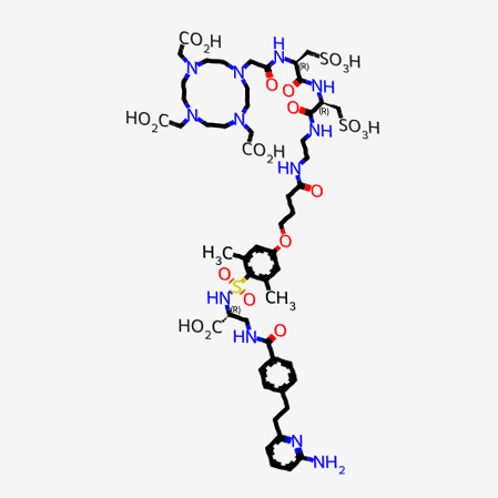 Cc1cc(OCCCC(=O)NCCNC(=O)[C@H](CS(=O)(=O)O)NC(=O)[C@H](CS(=O)(=O)O)NC(=O)CN2CCN(CC(=O)O)CCN(CC(=O)O)CCN(CC(=O)O)CC2)cc(C)c1S(=O)(=O)N[C@H](CNC(=O)c1ccc(CCc2cccc(N)n2)cc1)C(=O)O